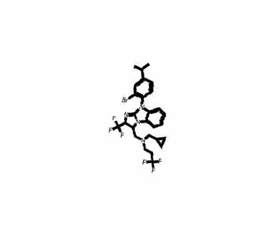 CC(C)c1ccc(N2C3=NC(C(F)(F)F)C(CN(CCC(F)(F)F)CC4CC4)N3c3ccccc32)c(Br)c1